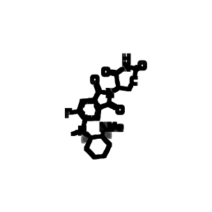 CN[C@H]1CCCC[C@H]1N(C)c1cc2c(cc1F)C(=O)N(C1CCC(=O)NC1=O)C2=O